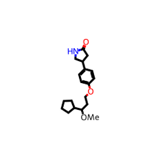 COC(CCOc1ccc(C2CNC(=O)C2)cc1)C1CCCC1